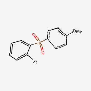 CCc1ccccc1S(=O)(=O)c1ccc(OC)cc1